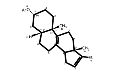 CCC1=CCC2C3=C(CC[C@]12C)[C@@]1(C)CC[C@@H](OC(C)=O)C[C@H]1CC3